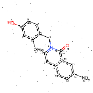 COc1cc(O)ccc1Cn1ccc2ccc([N+](=O)[O-])cc2c1=O